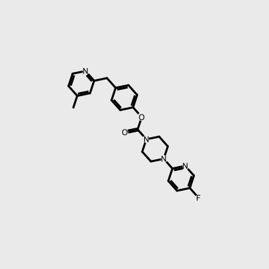 Cc1ccnc(Cc2ccc(OC(=O)N3CCN(c4ccc(F)cn4)CC3)cc2)c1